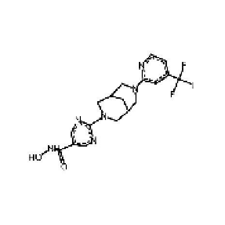 O=C(NO)c1cnc(N2CC3CC(CN(c4cc(C(F)(F)F)ccn4)C3)C2)nc1